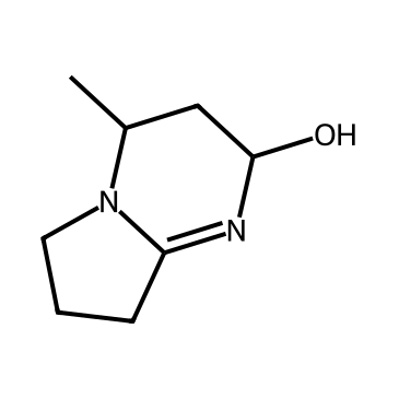 CC1CC(O)N=C2CCCN21